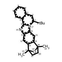 CC(C)(C)c1cc2ccccc2c2nc3cc4c(cc3n12)C1(C)CCC4(C)O1